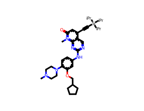 CC(C)[Si](C#Cc1cc(=O)n(C)c2nc(Nc3ccc(N4CCN(C)CC4)c(OCC4CCCC4)c3)ncc12)(C(C)C)C(C)C